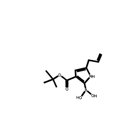 C=CCc1cc(C(=O)OC(C)(C)C)c(B(O)O)[nH]1